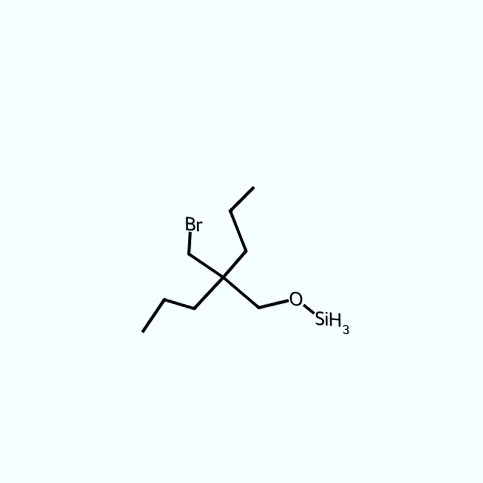 CCCC(CBr)(CCC)CO[SiH3]